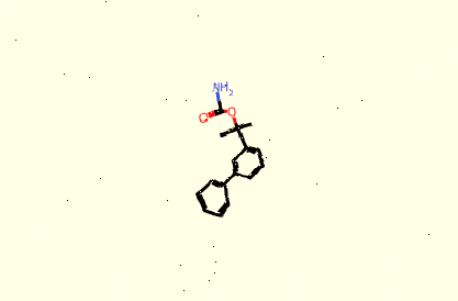 CC(C)(OC(N)=O)c1cccc(-c2ccccc2)c1